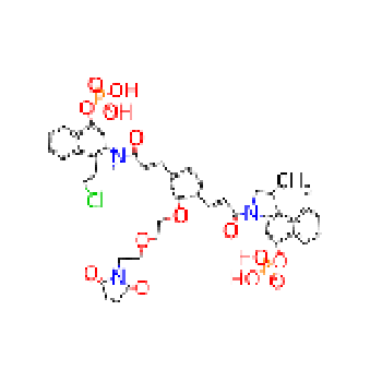 C[C@@H]1CN(C(=O)/C=C/c2ccc(/C=C/C(=O)N3C[C@@H](CCl)c4c3cc(OP(=O)(O)O)c3ccccc43)cc2OCCOCCN2C(=O)C=CC2=O)c2cc(OP(=O)(O)O)c3ccccc3c21